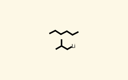 CCCCCC.[Li][CH2]C(C)C